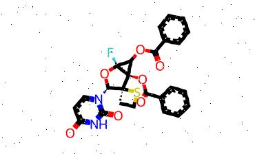 O=C(OC1[C@]2(OC(=O)c3ccccc3)[C@]3(CCS3)[C@H](n3ccc(=O)[nH]c3=O)O[C@]12F)c1ccccc1